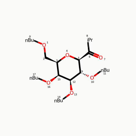 CCCCOC[C@H]1O[C@@H](C(=O)C(C)C)[C@H](OCCCC)[C@@H](OCCCC)[C@H]1OCCCC